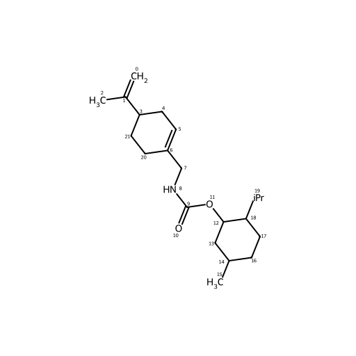 C=C(C)C1CC=C(CNC(=O)OC2CC(C)CCC2C(C)C)CC1